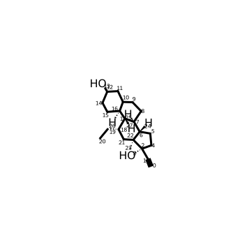 C#C[C@]1(O)CC[C@H]2[C@@H]3CCC4CC(O)CC[C@@H]4[C@H]3[C@@H](CC)C[C@@]21C